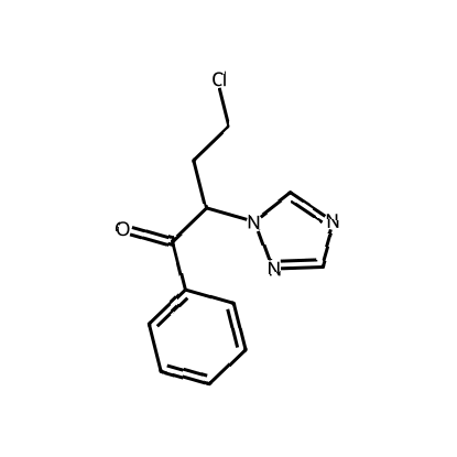 O=C(c1ccccc1)C(CCCl)n1cncn1